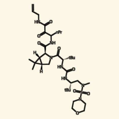 C=CCNC(=O)C(=O)C(CCC)NC(=O)[C@@H]1[C@@H]2[C@H](CN1C(=O)[C@@H](NC(=O)N[C@H](CN(C)S(=O)(=O)N1CCOCC1)C(C)(C)C)C(C)(C)C)C2(C)C